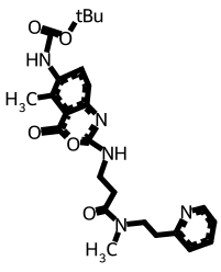 Cc1c(NC(=O)OC(C)(C)C)ccc2nc(NCCC(=O)N(C)CCc3ccccn3)oc(=O)c12